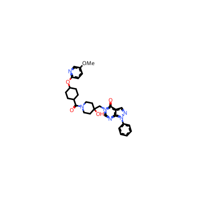 COc1ccc(OC2CCC(C(=O)N3CCC(O)(Cn4cnc5c(cnn5-c5ccccc5)c4=O)CC3)CC2)nc1